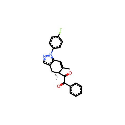 CC1=Cc2c(cnn2-c2ccc(F)cc2)C[C@]1(C)C(=O)C(=O)c1ccccc1